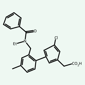 CCN(Cc1cc(C)ccc1-c1cc(Cl)cc(CC(=O)O)c1)C(=O)c1ccccc1